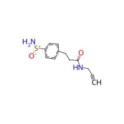 C#CCNC(=O)CCc1ccc([S+](N)[O-])cc1